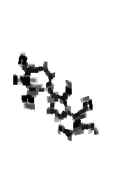 O=C1CCC(N2Cc3ccc(F)c(Cl)c3C2=O)C(=O)N1